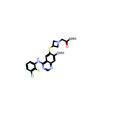 CNC(=O)CN1CC(Sc2cc3c(Nc4cccc(Cl)c4F)ncnc3cc2OC)C1